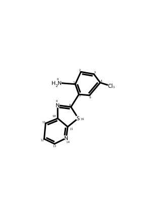 Nc1ccc(Cl)cc1-c1nc2cccnc2s1